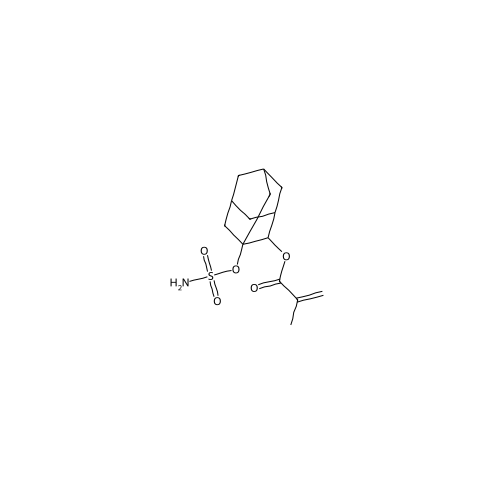 C=C(C)C(=O)OC1C2CC3CC(C2)CC1(OS(N)(=O)=O)C3